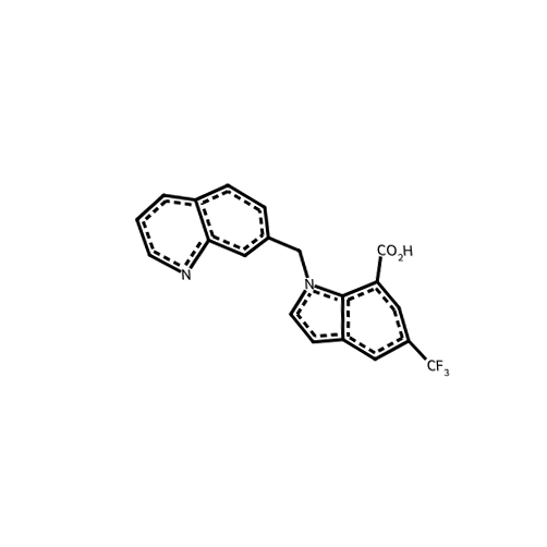 O=C(O)c1cc(C(F)(F)F)cc2ccn(Cc3ccc4cccnc4c3)c12